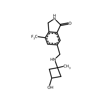 CC1(NCc2cc3c(c(C(F)(F)F)c2)CNC3=O)CC(O)C1